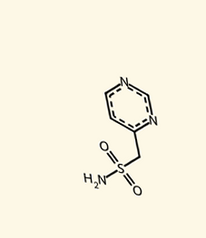 NS(=O)(=O)Cc1ccncn1